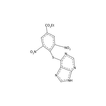 CCOC(=O)c1cc([N+](=O)[O-])c(Sc2ncnc3[nH]cnc23)c([N+](=O)[O-])c1